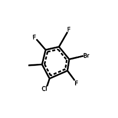 Cc1c(F)c(F)c(Br)c(F)c1Cl